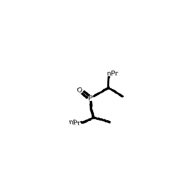 CCCC(C)[P](=O)C(C)CCC